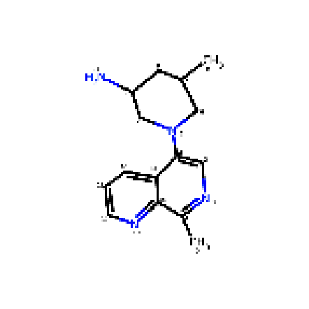 Cc1ncc(N2CC(C)CC(N)C2)c2cccnc12